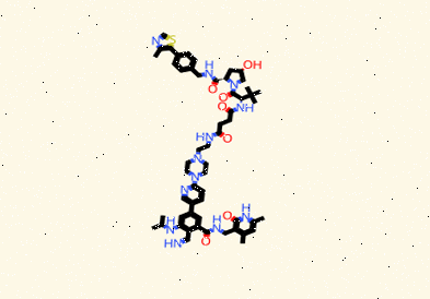 Cc1cc(C)c(CNC(=O)c2cc(-c3ccc(N4CCN(CCNC(=O)CCC(=O)N[C@H](C(=O)N5C[C@H](O)C[C@H]5C(=O)NCc5ccc(-c6scnc6C)cc5)C(C)(C)C)CC4)nc3)cc(NC(C)C)c2C=N)c(=O)[nH]1